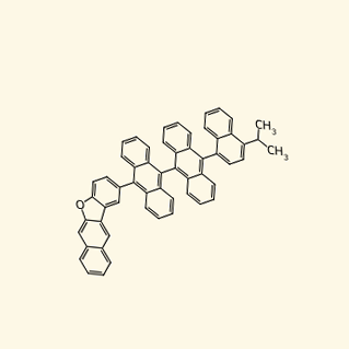 CC(C)c1ccc(-c2c3ccccc3c(-c3c4ccccc4c(-c4ccc5oc6cc7ccccc7cc6c5c4)c4ccccc34)c3ccccc23)c2ccccc12